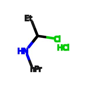 CCCNC(Cl)CC.Cl